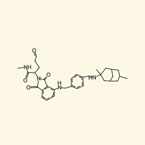 CNC(=O)C(CCC=O)N1C(=O)c2cccc(NCc3ccc(CNC4(C)CC5CC(C)CC(C5)C4)cc3)c2C1=O